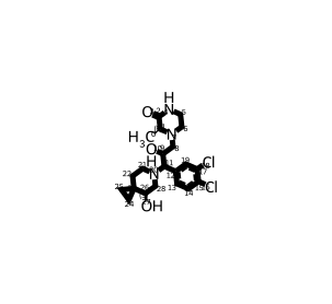 C[C@@H]1C(=O)NCCN1CC(O)C(c1ccc(Cl)c(Cl)c1)N1CCC2(CC2)[C@H](O)C1